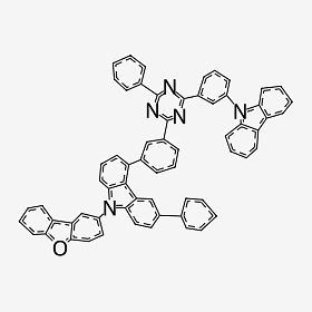 c1ccc(-c2ccc3c(c2)c2c(-c4cccc(-c5nc(-c6ccccc6)nc(-c6cccc(-n7c8ccccc8c8ccccc87)c6)n5)c4)cccc2n3-c2ccc3oc4ccccc4c3c2)cc1